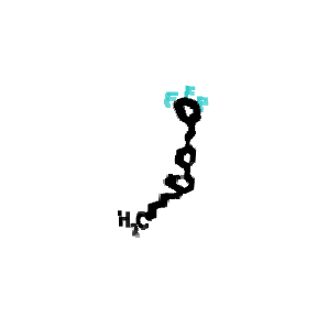 C=CCCCC[C@H]1CC[C@H]([C@H]2CC[C@H](CCc3cc(F)c(F)c(F)c3)CC2)CC1